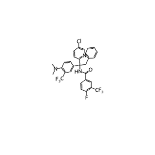 CN(C)c1ccc(C(Cc2ccccc2)(NC(=O)c2ccc(F)c(C(F)(F)F)c2)c2ccc(Cl)cn2)cc1C(F)(F)F